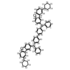 c1ccc(N(c2ccc(-c3ccc(N(c4ccccc4)c4ccc5oc6ccc(C7CCCCC7)cc6c5c4)cc3)cc2)c2ccc3oc4ccc(C5CCCCC5)cc4c3c2)cc1